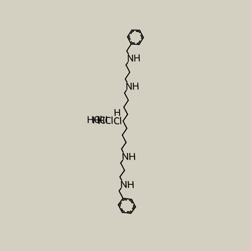 Cl.Cl.Cl.Cl.c1ccc(CNCCCNCCCCCCCCCNCCCNCc2ccccc2)cc1